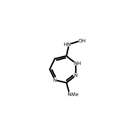 CNC1=NNC(NO)=CC=N1